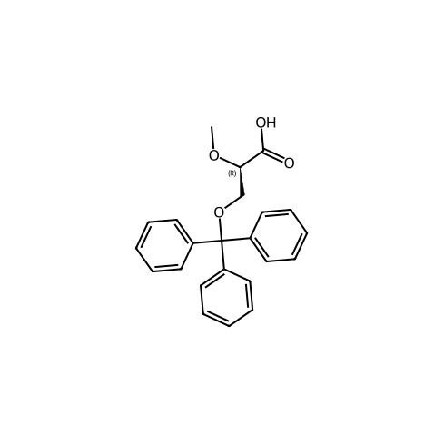 CO[C@H](COC(c1ccccc1)(c1ccccc1)c1ccccc1)C(=O)O